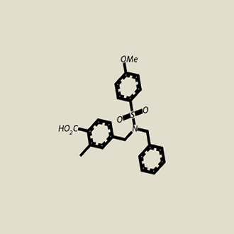 COc1ccc(S(=O)(=O)N(Cc2ccccc2)Cc2ccc(C(=O)O)c(C)c2)cc1